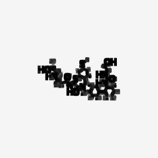 CSc1ccc2c(c1)S[C@@H](NC(=O)CC(C)(C)NC[C@@H](C)O)C(=O)N(Cc1ccc(-c3ccccc3NC(=O)NCCO)cc1)C2